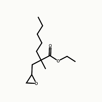 CCCCCC(C)(CC1CO1)C(=O)OCC